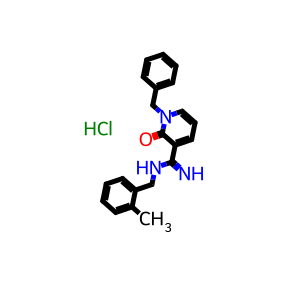 Cc1ccccc1CNC(=N)c1cccn(Cc2ccccc2)c1=O.Cl